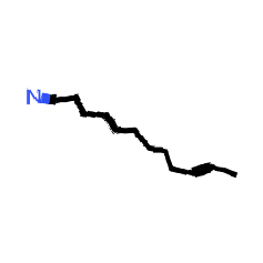 CC#CCCCCCCCCC#N